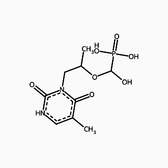 Cc1c[nH]c(=O)n(CC(C)OC(O)P(=O)(O)O)c1=O